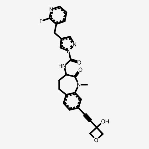 CN1C(=O)C(NC(=O)n2cc(Cc3cccnc3F)cn2)CCc2ccc(C#CC3(O)COC3)cc21